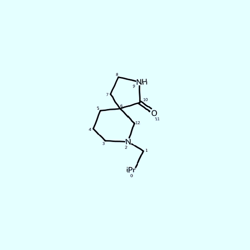 CC(C)CN1CCCC2(CCNC2=O)C1